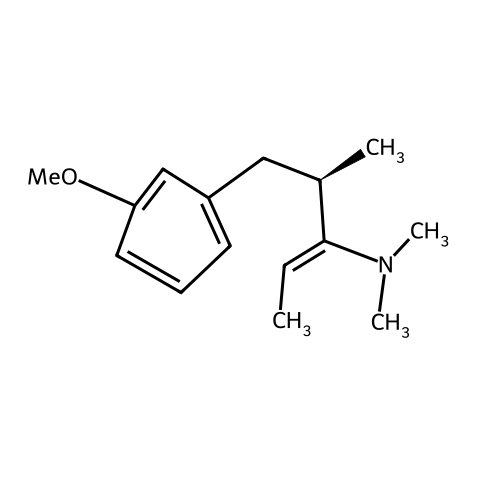 CC=C([C@H](C)Cc1cccc(OC)c1)N(C)C